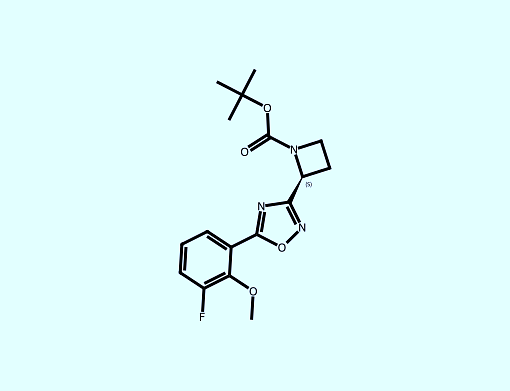 COc1c(F)cccc1-c1nc([C@@H]2CCN2C(=O)OC(C)(C)C)no1